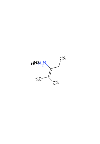 N#CCC(N)=C(C#N)C#N.[NaH]